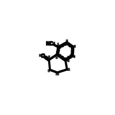 N#Cc1cccc2c1C(=O)CCC2